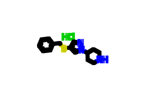 Cl.c1ccc(CSc2cnn(C3CCNCC3)c2)cc1